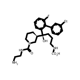 CCc1cccc(-c2c(F)cccc2[C@](O)(CCCNC(=O)O)[C@@H]2CCCN(C(=O)NCCN)C2)c1